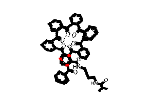 C=C(C)C(=O)NCCCNC(=O)c1ccccc1C(=O)c1ccccc1C(=O)c1ccccc1C(=O)c1ccccc1C(=O)c1ccccc1C(=O)c1ccccc1C(=O)c1ccc(C(=O)c2ccccc2)cc1